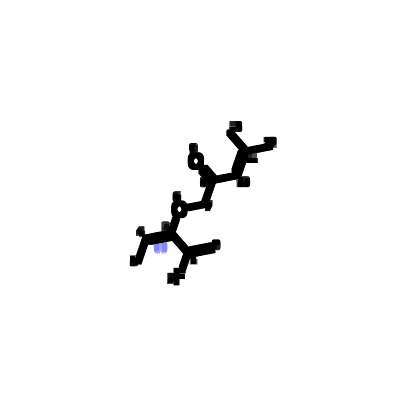 C=C(F)/C(=C\C)OCC(=O)C=C(C)C